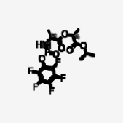 CC(C)OC(=O)[C@H](C)OC(=O)[C@H](C)N[PH](=O)Oc1c(F)c(F)c(F)c(F)c1F